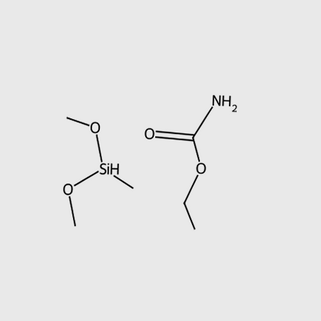 CCOC(N)=O.CO[SiH](C)OC